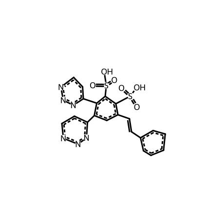 O=S(=O)(O)c1c(C=Cc2ccccc2)cc(-c2ccnnn2)c(-c2ccnnn2)c1S(=O)(=O)O